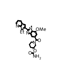 CCn1c(-c2nc3cc(C(=O)N4CCC[C@@H](OC(N)=O)C4)cc(OC)c3n2C)cc2cccnc21